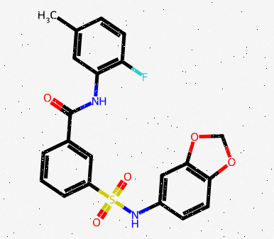 Cc1ccc(F)c(NC(=O)c2cccc(S(=O)(=O)Nc3ccc4c(c3)OCO4)c2)c1